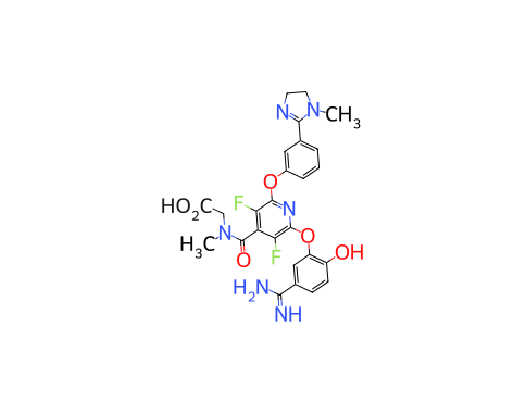 CN(CC(=O)O)C(=O)c1c(F)c(Oc2cccc(C3=NCCN3C)c2)nc(Oc2cc(C(=N)N)ccc2O)c1F